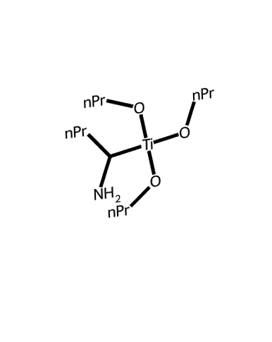 CCC[O][Ti]([O]CCC)([O]CCC)[CH](N)CCC